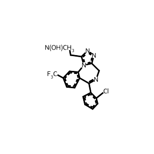 CN(O)Cc1nnc2n1-c1cc(C(F)(F)F)ccc1C(c1ccccc1Cl)=NC2